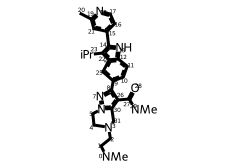 CNCCN1CCn2nc(-c3ccc4[nH]c(-c5ccnc(C)c5)c(C(C)C)c4c3)c(C(=O)NC)c2C1